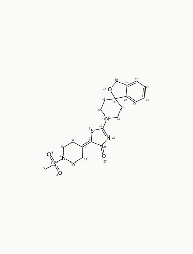 CS(=O)(=O)N1CCC(=C2SC(N3CCC4(CC3)OCc3ccccc34)=NC2=O)CC1